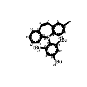 Cc1ccc2c(c1)C=Cc1ccccc1B2c1c(C(C)(C)C)cc(C(C)(C)C)cc1C(C)(C)C